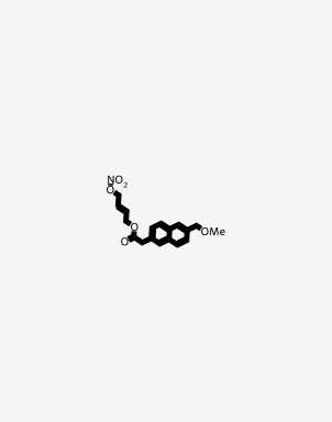 COCc1ccc2cc(CC(=O)OCC=CCO[N+](=O)[O-])ccc2c1